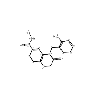 CC1=C(CN2C(=O)COC3=C2C=C(C(=O)NO)CC3)CCC=C1